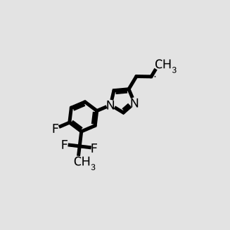 C[CH]Cc1cn(-c2ccc(F)c(C(C)(F)F)c2)cn1